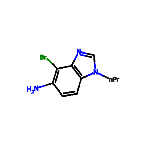 CCCn1cnc2c(Br)c(N)ccc21